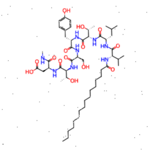 CCCCCCCCCCCCCCCC(=O)N[C@H](C(=O)N[C@@H](CC(C)C)C(=O)N[C@H](C(=O)N[C@@H](Cc1ccc(O)cc1)C(=O)N[C@@H](CO)C(=O)N[C@H](C(=O)N[C@@H](CC(=O)O)C(=O)NC)[C@@H](C)O)[C@@H](C)O)C(C)C